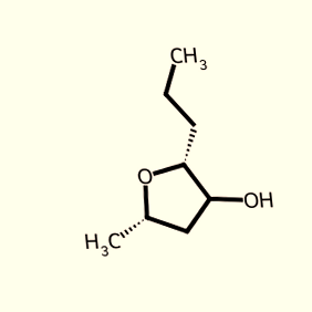 CCC[C@H]1O[C@@H](C)CC1O